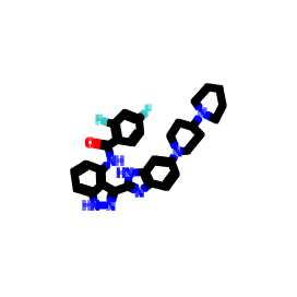 O=C(Nc1cccc2[nH]nc(-c3nc4ccc(N5CCC(N6CCCCC6)CC5)cc4[nH]3)c12)c1ccc(F)cc1F